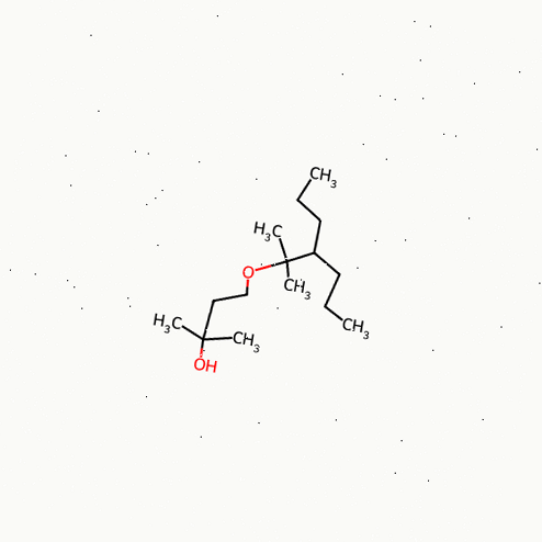 CCCC(CCC)C(C)(C)OCCC(C)(C)O